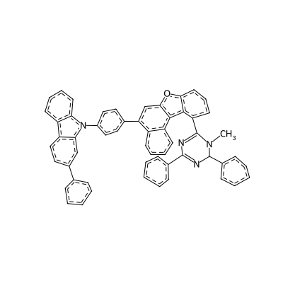 CN1C(c2cccc3oc4cc(-c5ccc(-n6c7ccccc7c7ccc(-c8ccccc8)cc76)cc5)c5ccccc5c4c23)=NC(c2ccccc2)=NC1c1ccccc1